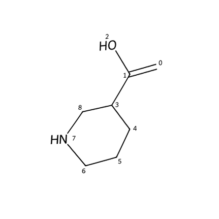 C=C(O)C1CCCNC1